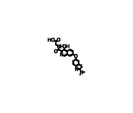 CN(C)c1nc2ccc(Oc3ccc4c(O)c(C(=O)NCC(=O)O)ncc4c3)cc2s1